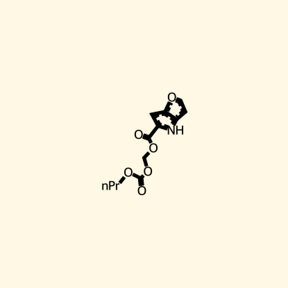 CCCOC(=O)OCOC(=O)c1cc2occc2[nH]1